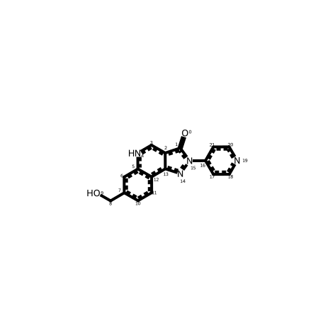 O=c1c2c[nH]c3cc(CO)ccc3c-2nn1-c1ccncc1